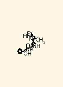 CCNc1ncc(C)c(-c2c[nH]c(OC(=O)NCC(O)c3ccccc3)c2)n1